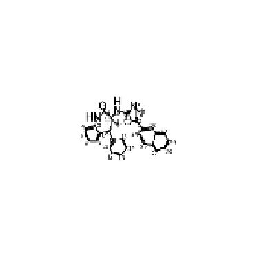 O=C1Nc2ccccc2C(c2ccccc2)=N[C@@H]1Nc1nnc(-c2ccc3ccccc3c2)o1